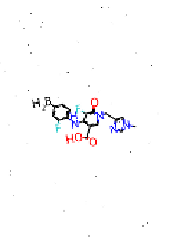 Bc1ccc(Nc2c(C(=O)O)cn(Cc3cn(C)cn3)c(=O)c2F)c(F)c1